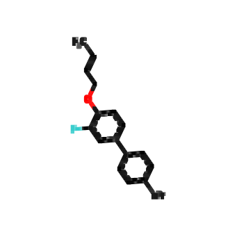 CCCc1ccc(-c2ccc(OC/C=C/C(F)(F)F)c(F)c2)cc1